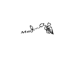 COC(=O)CCCCCc1cccc(CO[Si](c2ccccc2)(c2ccccc2)C(C)(C)C)c1